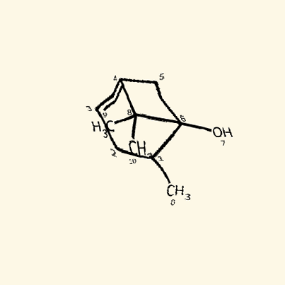 CC1CC=C2CC1(O)C2(C)C